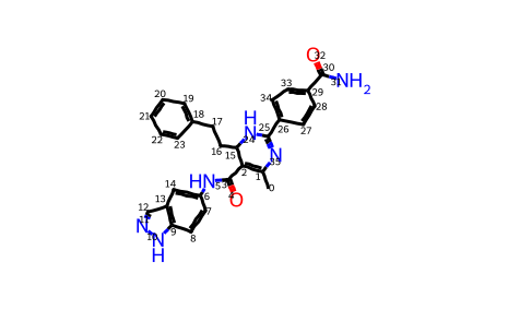 CC1=C(C(=O)Nc2ccc3[nH]ncc3c2)C(CCc2ccccc2)NC(c2ccc(C(N)=O)cc2)=N1